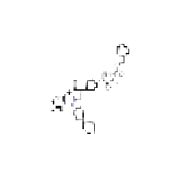 Cc1cnc(CN2C(=O)C(c3ccc(NC(=O)[C@H](C)NC(=O)OCc4ccccc4)cc3)S/C2=N\c2ccc(N3CCOCC3)cc2)cn1